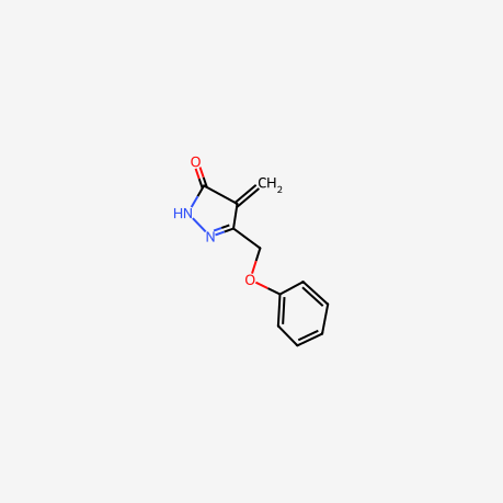 C=C1C(=O)NN=C1COc1ccccc1